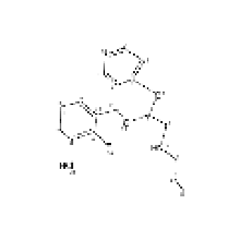 CCCNCC1Oc2ccccc2C(c2ccccc2F)O1.Cl